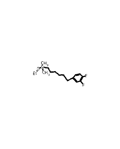 CCO[Si](C)(C)CCCCCCc1ccc(F)c(F)c1